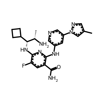 Cc1cnn(-c2cncc(Nc3nc(N[C@H](C4CCC4)[C@H](C)N)c(F)cc3C(N)=O)c2)c1